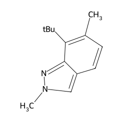 Cc1ccc2cn(C)nc2c1C(C)(C)C